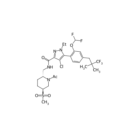 CCn1nc(C(=O)NC[C@H]2CC[C@H](S(C)(=O)=O)CN2C(C)=O)c(Cl)c1-c1ccc(CC(C)(C)C(F)(F)F)cc1OC(F)F